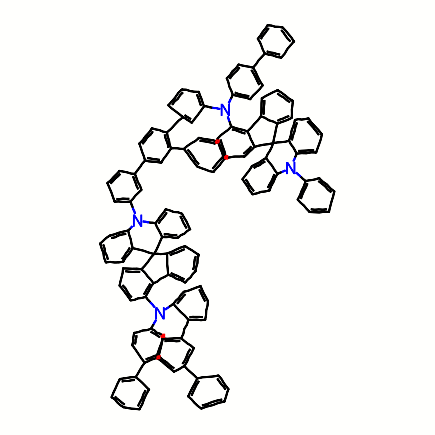 c1ccc(-c2ccc(N(c3cccc(-c4ccc(-c5cccc(N6c7ccccc7C7(c8ccccc8-c8c(N(c9ccc(-c%10ccccc%10)cc9)c9ccccc9-c9cccc(-c%10ccccc%10)c9)cccc87)c7ccccc76)c5)cc4-c4ccccc4)c3)c3cccc4c3-c3ccccc3C43c4ccccc4N(c4ccccc4)c4ccccc43)cc2)cc1